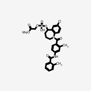 COC(=O)COP(=O)(O)OC1CCCN(C(=O)c2ccc(NC(=O)c3ccccc3C)cc2C)c2ccc(Cl)cc21